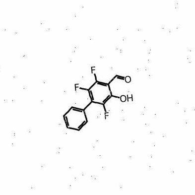 O=Cc1c(O)c(F)c(-c2ccccc2)c(F)c1F